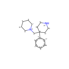 c1ccc(C2(CN3CCCCC3)CCNCC2)cc1